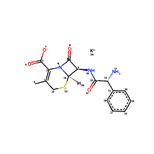 CC1=C(C(=O)[O-])N2C(=O)[C@@H](NC(=O)[C@H](N)c3ccccc3)[C@H]2SC1.[K+]